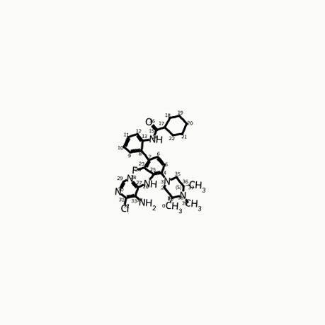 C[C@@H]1CN(c2ccc(-c3ccccc3NC(=O)C3CCCCC3)c(F)c2Nc2ncnc(Cl)c2N)C[C@H](C)N1C